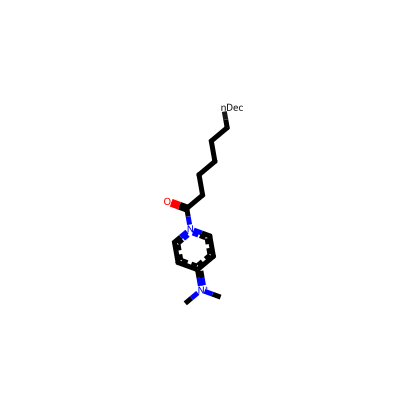 CCCCCCCCCCCCCCCC(=O)n1ccc(=[N+](C)C)cc1